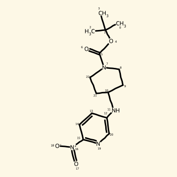 CC(C)(C)OC(=O)N1CCC(Nc2ccc([N+](=O)[O-])nc2)CC1